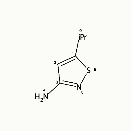 CC(C)c1cc(N)ns1